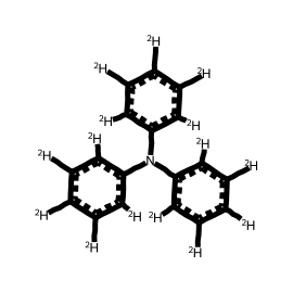 [2H]c1c([2H])c([2H])c(N(c2c([2H])c([2H])c([2H])c([2H])c2[2H])c2c([2H])c([2H])c([2H])c([2H])c2[2H])c([2H])c1[2H]